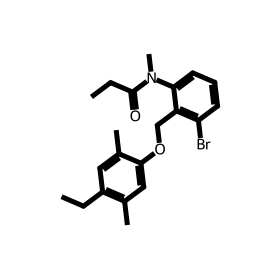 CCC(=O)N(C)c1cccc(Br)c1COc1cc(C)c(CC)cc1C